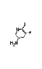 Nc1cnc(I)c(F)c1